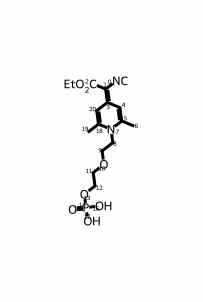 [C-]#[N+]C(C(=O)OCC)=C1C=C(C)N(CCOCCOP(=O)(O)O)C(C)=C1